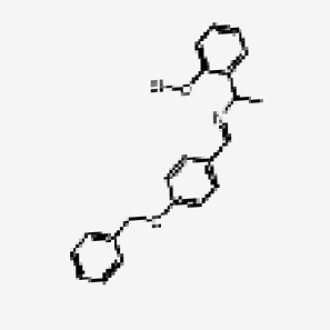 CCOc1ccccc1C(C)N=Cc1ccc(OCc2ccccc2)cc1